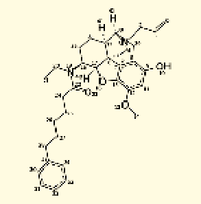 C=CCN1CC[C@]23c4c5c(O)cc(OC)c4O[C@H]2[C@@H](N(CC)C(=O)CCCCCc2ccccc2)CC[C@H]3[C@H]1C5